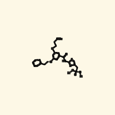 CCOP(=O)(Cc1csc(NC(=O)c2cc(OCCOC)cc(OCCc3ccccc3)c2)n1)OCC